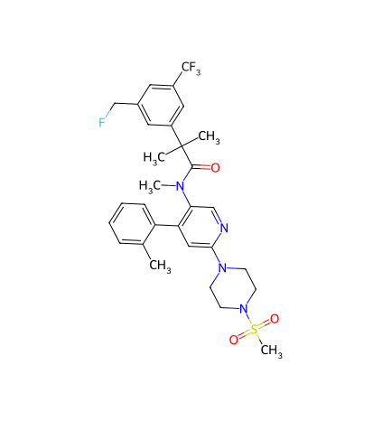 Cc1ccccc1-c1cc(N2CCN(S(C)(=O)=O)CC2)ncc1N(C)C(=O)C(C)(C)c1cc(CF)cc(C(F)(F)F)c1